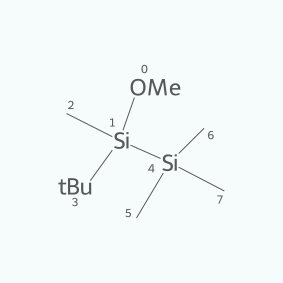 CO[Si](C)(C(C)(C)C)[Si](C)(C)C